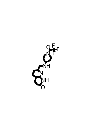 O=C(N1CCC(NCc2ccc3ccc(=O)[nH]c3n2)CC1)C(F)(F)F